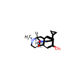 CN1CC[C@]23CCN(CC4CC4)C[C@H]2[C@H]1Cc1ccc(O)cc13